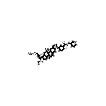 COCC(=O)O[C@]1(C(=O)SCF)[C@H](C)C[C@H]2[C@@H]3CCC4=Cc5c(cnn5-c5cccc(C(=O)NCc6cccnc6)c5)C[C@]4(C)[C@@]3(F)[C@@H](O)C[C@@]21C